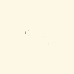 CC[C@H](CO)C(=O)N1CC2(CC[C@H](c3ccc(C)cc3C)C2)C1